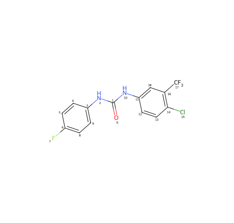 O=C(Nc1ccc(F)cc1)Nc1ccc(Cl)c(C(F)(F)F)c1